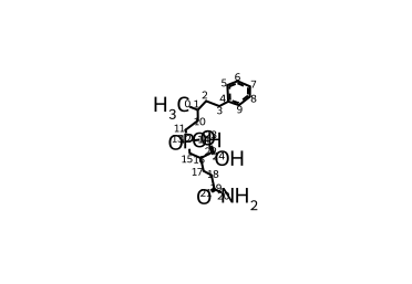 CC(CCc1ccccc1)CCP(=O)(O)CC(CCC(N)=O)C(=O)O